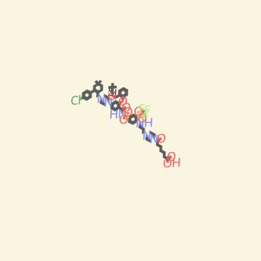 CC1(C)CCC(CN2CCN(c3ccc(C(=O)NS(=O)(=O)c4ccc(NCCCN5CCN(C(=O)CCCCCC(=O)O)CC5)c(S(=O)(=O)C(F)(F)F)c4)c(Oc4ccccc4CO[Si](C)(C)C(C)(C)C)c3)CC2)=C(c2ccc(Cl)cc2)C1